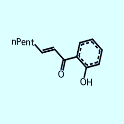 CCCCCC=CC(=O)c1ccccc1O